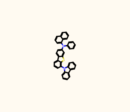 c1ccc(N(c2ccc3c(c2)sc2c(-n4c5ccccc5c5ccccc54)cccc23)c2cccc3ccccc23)cc1